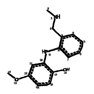 CNCc1ccccc1Pc1cc(OC)ccc1O